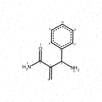 C=C(C(N)=O)C(N)c1ccccc1